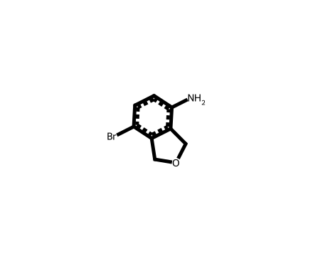 Nc1ccc(Br)c2c1COC2